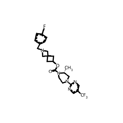 C[C@@H]1CN(c2ncc(C(F)(F)F)cn2)CCN1C(=O)OC1CC2(C1)CN(Cc1ccc(F)cc1)C2